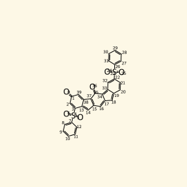 O=c1cc(S(=O)(=O)c2ccccc2)c2cc3cc4cc5ccc(S(=O)(=O)c6ccccc6)cc5c-4c(=O)c=3c-2c1